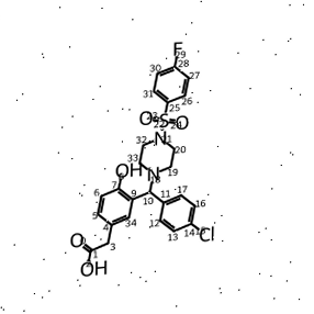 O=C(O)Cc1ccc(O)c(C(c2ccc(Cl)cc2)N2CCN(S(=O)(=O)c3ccc(F)cc3)CC2)c1